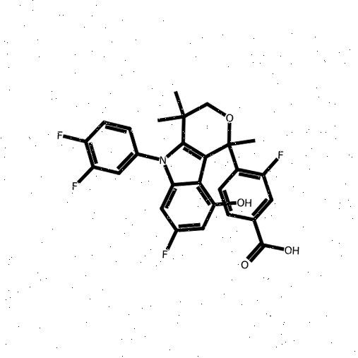 CC1(C)COC(C)(c2ccc(C(=O)O)cc2F)c2c1n(-c1ccc(F)c(F)c1)c1cc(F)cc(O)c21